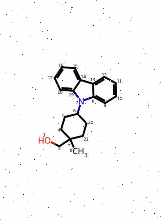 CC1(CO)CCC(n2c3ccccc3c3ccccc32)CC1